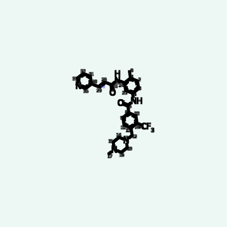 Cc1ccc(NC(=O)c2ccc(CN3CCN(C)CC3)c(C(F)(F)F)c2)cc1NC(=O)/C=C/c1cccnc1